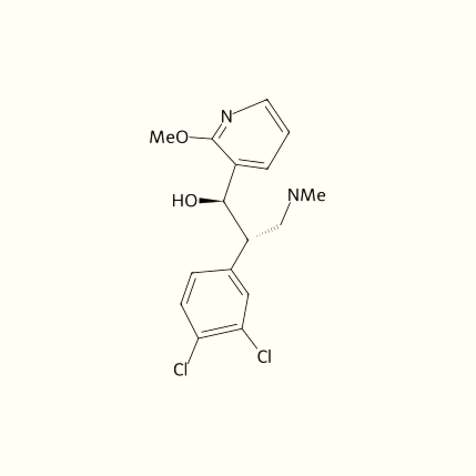 CNC[C@H](c1ccc(Cl)c(Cl)c1)[C@@H](O)c1cccnc1OC